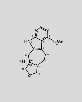 COc1cccc2[nH]c3c(c12)CCN1CCC[C@H]1C3